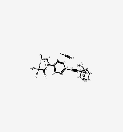 CC#N.CCCN(C(=O)C(F)(F)F)c1ccc(C#CC2(O)CN3CCC2CC3)cc1